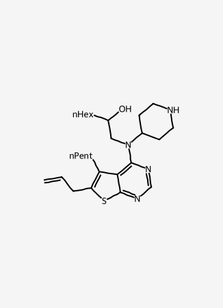 C=CCc1sc2ncnc(N(CC(O)CCCCCC)C3CCNCC3)c2c1CCCCC